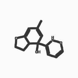 CC1=CC(O)(C2=CC=CON2)C2CCOC2=C1